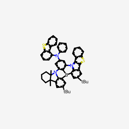 CC(C)(C)c1cc2c3c(c1)C1(C)CCCCC1(C)N3c1cc(N(c3ccccc3)c3cccc4sc5ccccc5c34)cc3c1B2c1cc(C(C)(C)C)cc2c4sc5ccccc5c4n-3c12